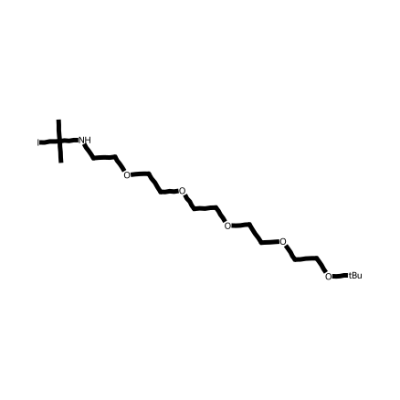 CC(C)(I)NCCOCCOCCOCCOCCOC(C)(C)C